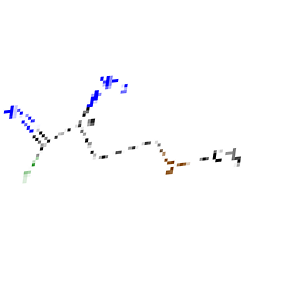 CSCC[C@H](N)C(=N)F